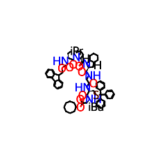 CC[C@H](C)[C@H](NC(=O)[C@H](CSC(c1ccccc1)(c1ccccc1)c1ccccc1)NC(=O)CNC(=O)[C@@H]1C[C@@H]2CCCC[C@@H]2N1C(=O)[C@@H]1CCCN1C(=O)[C@H](CC(C)C)NC(=O)OCC1c2ccccc2-c2ccccc21)C(=O)OC1CCCCCCC1